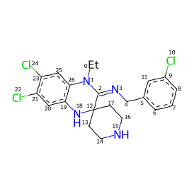 CCN1/C(=N/Cc2cccc(Cl)c2)C2(CCNCC2)Nc2cc(Cl)c(Cl)cc21